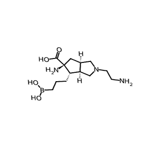 NCCN1C[C@@H]2C[C@@](N)(C(=O)O)[C@@H](CCCB(O)O)[C@@H]2C1